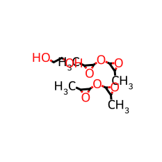 CC1OC1OC1OC1C.CC1OC1OC1OC1C.OCCO